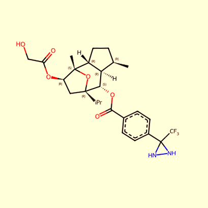 CC(C)[C@@]12C[C@@H](OC(=O)CO)[C@@](C)(O1)[C@@H]1CC[C@@H](C)[C@H]1[C@@H]2OC(=O)c1ccc(C2(C(F)(F)F)NN2)cc1